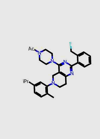 CC(=O)N1CCN(c2nc(-c3ccccc3CF)nc3c2CN(c2cc(C(C)C)ccc2C)CC3)CC1